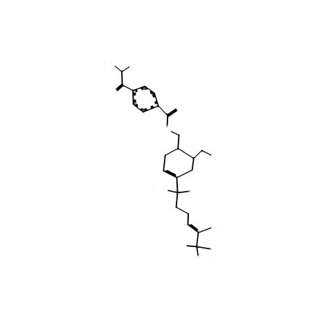 C/C(=C\CCC(C)(C)C1=CCC(COC(=O)c2ccc(C(=O)C(C)C)cc2)C(CO)C1)C(C)(C)C